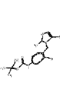 CC1NC=C(Br)N1Cc1ccc(NC(=O)OC(C)(C)C)cc1Cl